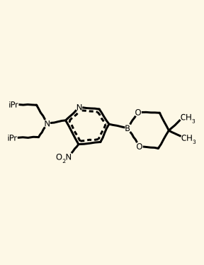 CC(C)CN(CC(C)C)c1ncc(B2OCC(C)(C)CO2)cc1[N+](=O)[O-]